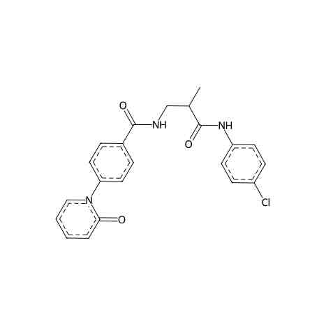 CC(CNC(=O)c1ccc(-n2ccccc2=O)cc1)C(=O)Nc1ccc(Cl)cc1